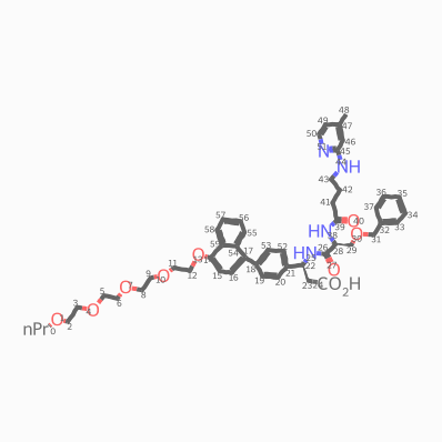 CCCOCCOCCOCCOCCOc1ccc(-c2ccc([C@H](CC(=O)O)NC(=O)[C@H](COCc3ccccc3)NC(=O)CCCNc3cc(C)ccn3)cc2)c2ccccc12